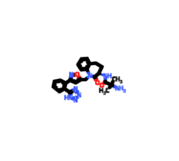 CC(C)(N)C(=O)N[C@@H]1CCc2ccccc2N(Cc2cc(-c3ccccc3-c3nnn[nH]3)no2)C1=O